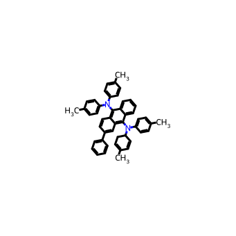 CC1=CCC(N(c2ccc(C)cc2)c2c3ccccc3c(N(c3ccc(C)cc3)c3ccc(C)cc3)c3ccc(-c4ccccc4)cc23)C=C1